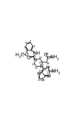 COc1ccccc1NC(=O)N1CCN(c2nc(N)nc3scnc23)C(CC(N)=O)C1